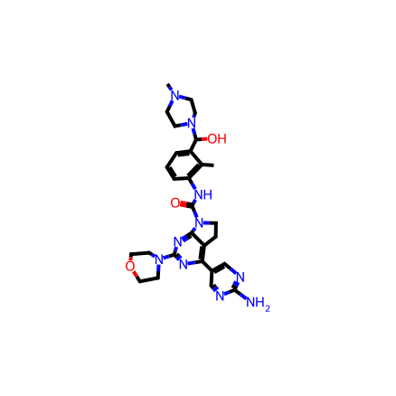 Cc1c(NC(=O)N2CCc3c(-c4cnc(N)nc4)nc(N4CCOCC4)nc32)cccc1C(O)N1CCN(C)CC1